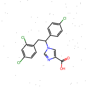 O=C(O)c1cn(C(Cc2ccc(Cl)cc2Cl)c2ccc(Cl)cc2)cn1